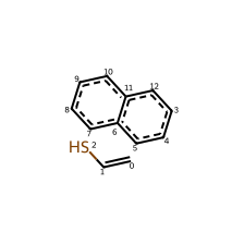 C=CS.c1ccc2ccccc2c1